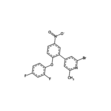 Cc1cc(-c2cc([N+](=O)[O-])ccc2Oc2ccc(F)cc2F)cc(Br)n1